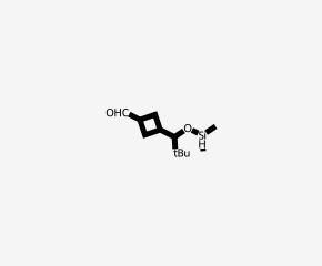 C[SiH](C)OC(C1CC(C=O)C1)C(C)(C)C